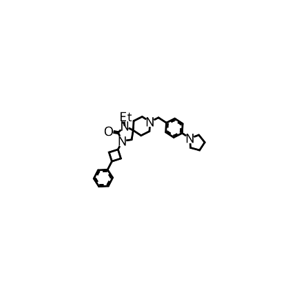 CCN1C(=O)N(C2CC(c3ccccc3)C2)CC12CCN(Cc1ccc(N3CCCC3)cc1)CC2